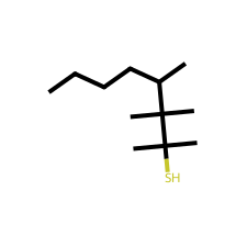 CCCCC(C)C(C)(C)C(C)(C)S